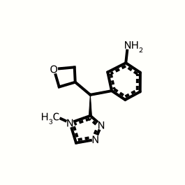 Cn1cnnc1[C@H](c1cccc(N)c1)C1COC1